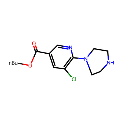 CCCCOC(=O)c1cnc(N2CCNCC2)c(Cl)c1